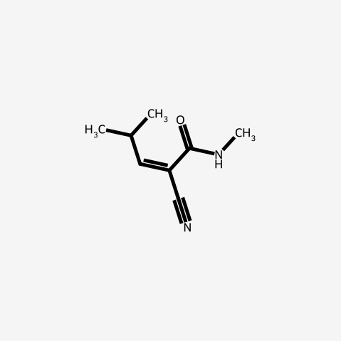 CNC(=O)/C(C#N)=C\C(C)C